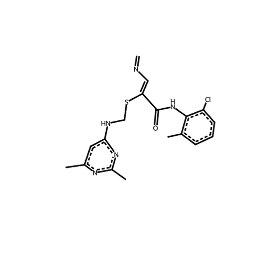 C=N/C=C(\SCNc1cc(C)nc(C)n1)C(=O)Nc1c(C)cccc1Cl